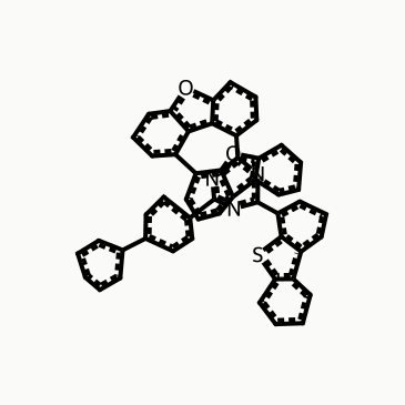 c1ccc(-c2ccc(-c3nc(-c4cccc5c4sc4ccccc45)nc(-c4cccc5oc6cccc(-c7cccc8c7oc7ccccc78)c6c45)n3)cc2)cc1